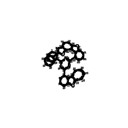 c1ccc(-c2nc(-c3cccc4oc5ccccc5c34)nc(-c3cccc4oc5ccc6nc(-c7ccccc7)oc6c5c34)n2)cc1